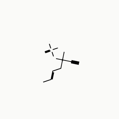 C#CC(C)(CC=CC)OP(=O)(O)O